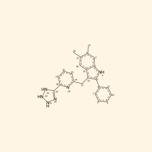 Cc1cc2[nH]c(-c3ccccc3)c(Cc3cccc(C4=NNNN4)n3)c2cc1C